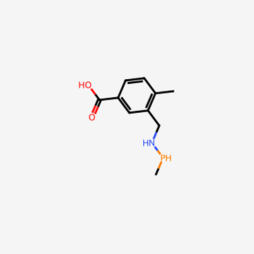 CPNCc1cc(C(=O)O)ccc1C